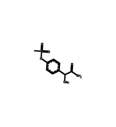 CC(=O)OC(C(N)=O)c1ccc(OS(C)(=O)=O)cc1